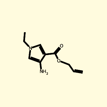 C=CCOC(=O)c1cn(CC)cc1N